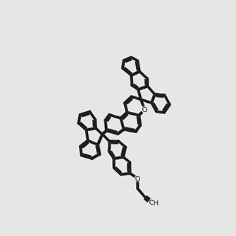 C#CCOc1ccc2cc(C3(c4ccc5c6c(ccc5c4)OC4(C=C6)c5ccccc5-c5cc6ccccc6cc54)c4ccccc4-c4ccccc43)ccc2c1